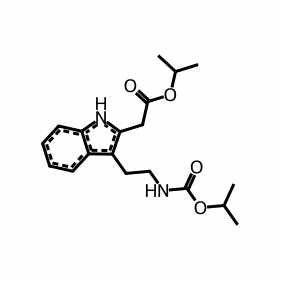 CC(C)OC(=O)Cc1[nH]c2ccccc2c1CCNC(=O)OC(C)C